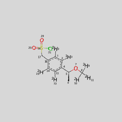 [2H]c1c([2H])c([C@H](C)OC([2H])([2H])[2H])c([2H])c([2H])c1CS(=O)(=O)Cl